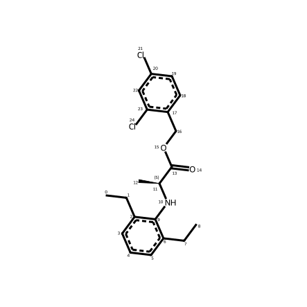 CCc1cccc(CC)c1N[C@@H](C)C(=O)OCc1ccc(Cl)cc1Cl